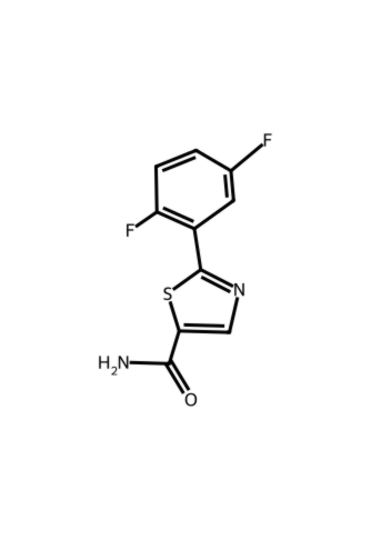 NC(=O)c1cnc(-c2cc(F)ccc2F)s1